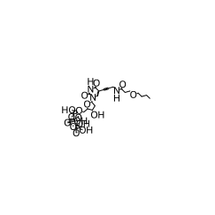 CCCCOCCC(=O)NCC#Cc1cn(C2CC(O)C(COP(=O)(O)OP(=O)(O)OP(=O)(O)O)O2)c(=O)[nH]c1=O